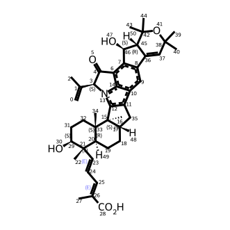 C=C(C)[C@H]1C(=O)c2c3c(cc4c5c(n1c24)[C@@]1(C)[C@@H](CC[C@H]2[C@](C)(/C=C/C=C(\C)C(=O)O)[C@@H](O)CC[C@@]21C)C5)C1=CC(C)(C)OC(C)(C)[C@H]1[C@@H]3O